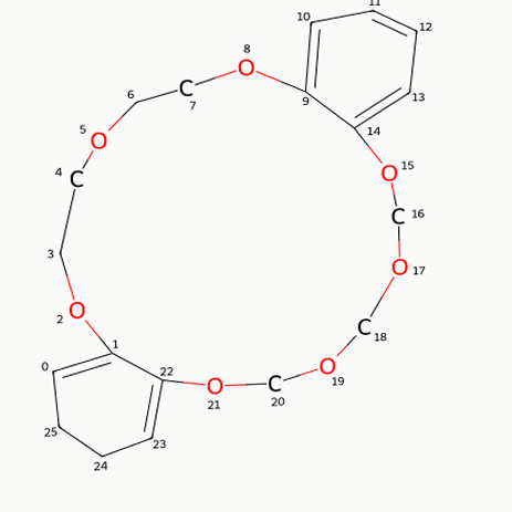 C1=C2OCCOCCOc3ccccc3OCOCOCOC2=CCC1